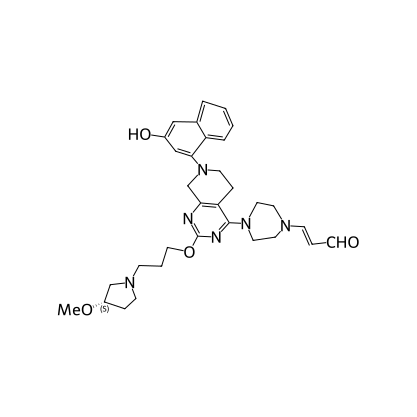 CO[C@H]1CCN(CCCOc2nc3c(c(N4CCN(C=CC=O)CC4)n2)CCN(c2cc(O)cc4ccccc24)C3)C1